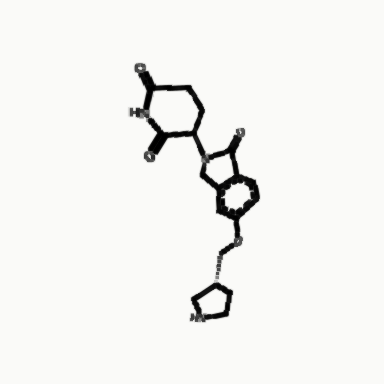 O=C1CCC(N2Cc3cc(OC[C@@H]4CCNC4)ccc3C2=O)C(=O)N1